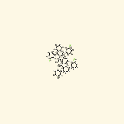 Fc1cccc(-c2ccc(-c3cccc(F)c3)c3c2-c2ccc4c5c(ccc-3c25)-c2c-4c(-c3cccc(F)c3)c3ccccc3c2-c2cccc(F)c2)c1